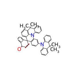 CC1(C)c2ccccc2N(c2ccc3c(c2)N2c4ccccc4C(C)(C)c4cccc(c42)C32c3ccccc3C(=O)c3ccccc32)c2ccccc21